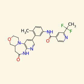 Cc1ccc(NC(=O)c2ccnc(C(C)(F)F)c2)cc1-c1cnc2c(c1)N1CCOCC1CC(=O)N2